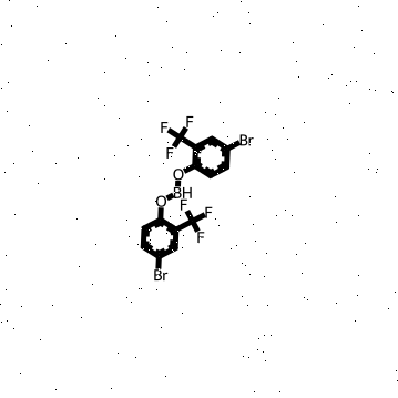 FC(F)(F)c1cc(Br)ccc1OBOc1ccc(Br)cc1C(F)(F)F